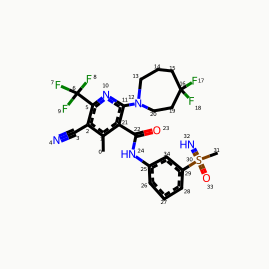 Cc1c(C#N)c(C(F)(F)F)nc(N2CCCC(F)(F)CC2)c1C(=O)Nc1cccc(S(C)(=N)=O)c1